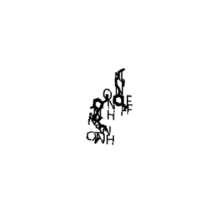 CCN1CCN(c2cc(NC(=O)c3ccc(C)c(-n4cc(-c5cnc(NC(C)=O)s5)nn4)c3)cc(C(F)(F)F)c2)CC1